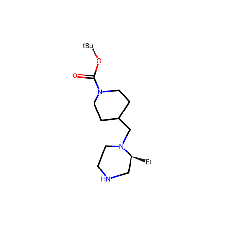 CC[C@H]1CNCCN1CC1CCN(C(=O)OC(C)(C)C)CC1